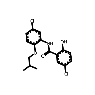 CC(C)COc1ccc(Cl)cc1NC(=O)c1cc(Cl)ccc1O